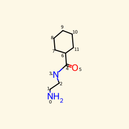 NCC[N]C(=O)C1CCCCC1